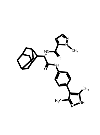 Cc1n[nH]c(C)c1-c1ccc(NC(=O)[C@@H](NC(=O)c2ccnn2C)C2C3CC4CC(C3)CC2C4)cc1